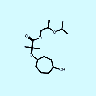 CC(C)OC(C)COC(=O)C(C)(C)OC1CCCC(O)CC1